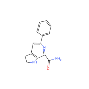 NC(=O)c1nc(-c2ccccc2)cc2c1NCC2